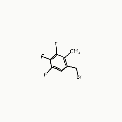 Cc1c(CBr)cc(F)c(F)c1F